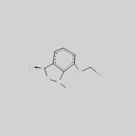 CC[C@@H]1OB(C)c2c(NCN)cccc21